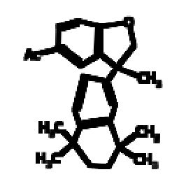 CC(=O)c1ccc2c(c1)C(C)(c1ccc3c(c1)C(C)(C)CCC3(C)C)CO2